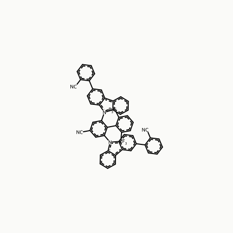 N#Cc1cc(-n2c3ccccc3c3cc(-c4ccccc4C#N)ccc32)c(-c2c(C(F)(F)F)cccc2C(F)(F)F)c(-n2c3ccccc3c3cc(-c4ccccc4C#N)ccc32)c1